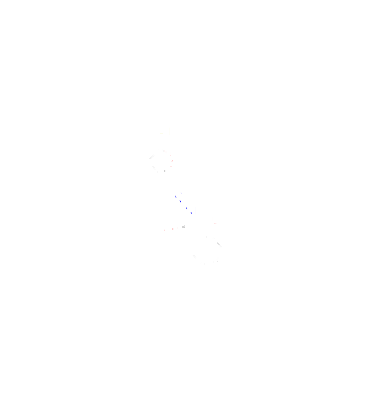 O=C(N/N=C/c1ccc(S)o1)c1ccccc1O